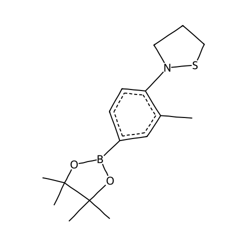 Cc1cc(B2OC(C)(C)C(C)(C)O2)ccc1N1CCCS1